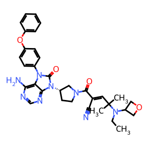 CCN(C1COC1)C(C)(C)C=C(C#N)C(=O)N1CC[C@H](n2c(=O)n(-c3ccc(Oc4ccccc4)cc3)c3c(N)ncnc32)C1